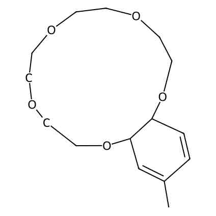 CC1=CC2OCCOCCOCCOCCOC2C=C1